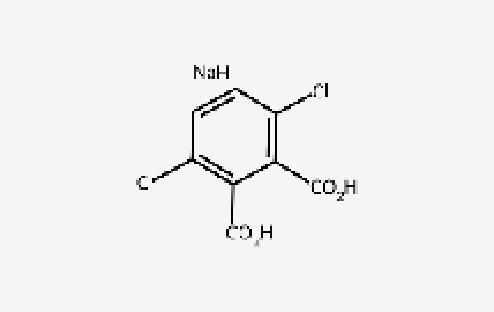 O=C(O)c1c(Cl)ccc(Cl)c1C(=O)O.[NaH]